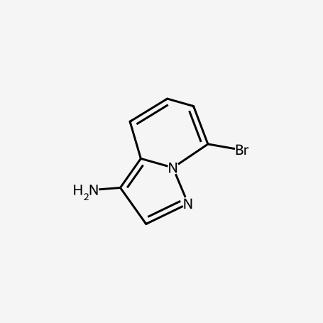 Nc1cnn2c(Br)cccc12